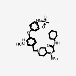 CCCCN(CC(=O)NC1CCCCC1)C1CCN(Cc2ccc(Oc3ccc(NS(C)(=O)=O)cc3)cc2)CC1.Cl.Cl